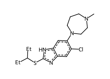 CCC(CC)Sc1nc2cc(Cl)c(N3CCCN(C)CC3)cc2[nH]1